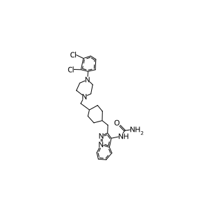 NC(=O)Nc1c(CC2CCC(CN3CCN(c4cccc(Cl)c4Cl)CC3)CC2)nn2ccccc12